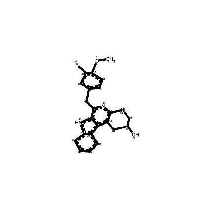 COc1ccc(Cc2nc3c(c4c2[nH]c2ccccc24)CC(O)CN3)cc1F